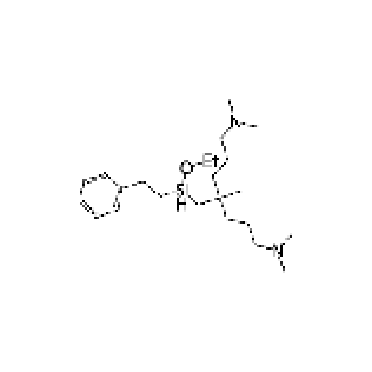 CCO[SiH](CCc1ccccc1)CC(C)(CCCN(C)C)CCCN(C)C